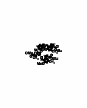 COC(=O)C(C)(C)CN1CC(Oc2c(C#N)ccc3cn(Cc4c(OC)cc(C)c5c4ccn5C(=O)OC(C)(C)C)nc23)C1.COc1cc(C)c2c(ccn2C(=O)OC(C)(C)C)c1CCl